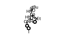 CC[C@H](CN1CC[C@@H](CNC(=O)c2ccc3cc(I)ccc3c2)N[C@@H](CCNC(=O)OC(C)(C)C)C1=O)c1ccccc1